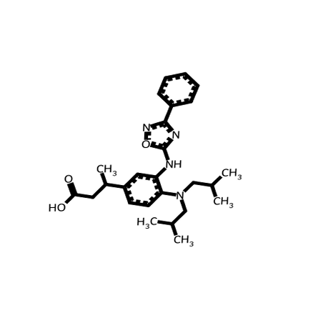 CC(C)CN(CC(C)C)c1ccc(C(C)CC(=O)O)cc1Nc1nc(-c2ccccc2)no1